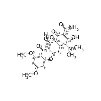 COc1cc(OC)c2c(c1)OC1CC3C(N(C)C)C(O)=C(C(N)=O)C(=O)C3(O)C(O)=C1C2=O